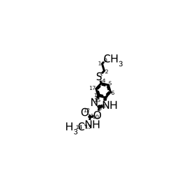 CCCSc1ccc2[nH]c(OC(=O)NC)nc2c1